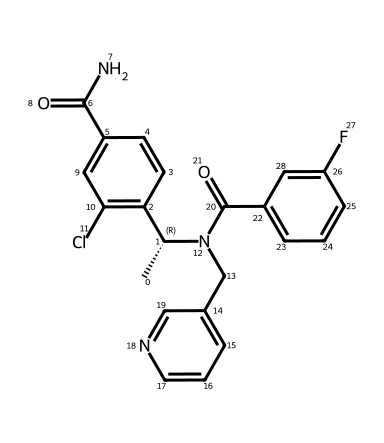 C[C@H](c1ccc(C(N)=O)cc1Cl)N(Cc1cccnc1)C(=O)c1cccc(F)c1